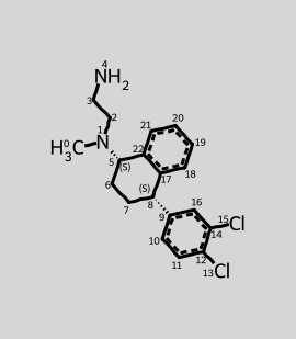 CN(CCN)[C@H]1CC[C@@H](c2ccc(Cl)c(Cl)c2)c2ccccc21